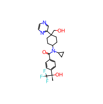 C[C@](O)(c1ccc(C(=O)N(C2CC2)C2CCC(CO)(c3cnccn3)CC2)cc1)C(F)(F)F